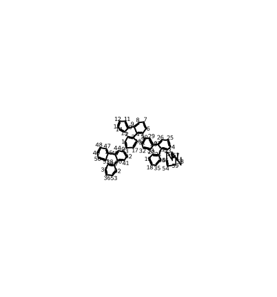 c1ccc(-c2ccccc2-c2ccccc2)cc1.c1ccc(-c2ccccc2-c2ccccc2)cc1.c1ccc(-c2ccccc2-c2ccccc2)cc1.c1cnnnc1